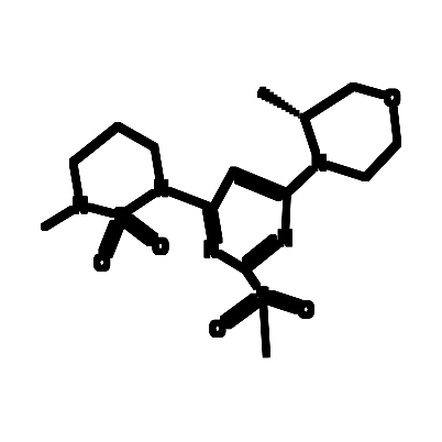 C[C@@H]1COCCN1c1cc(N2CCCN(C)S2(=O)=O)nc(S(C)(=O)=O)n1